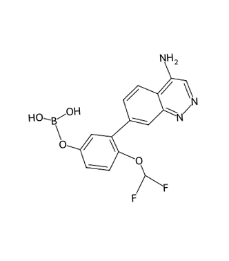 Nc1cnnc2cc(-c3cc(OB(O)O)ccc3OC(F)F)ccc12